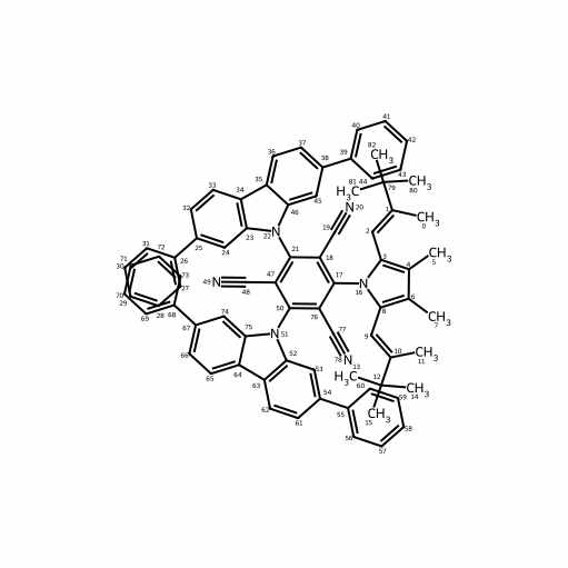 C/C(=C\c1c(C)c(C)c(/C=C(\C)C(C)(C)C)n1-c1c(C#N)c(-n2c3cc(-c4ccccc4)ccc3c3ccc(-c4ccccc4)cc32)c(C#N)c(-n2c3cc(-c4ccccc4)ccc3c3ccc(-c4ccccc4)cc32)c1C#N)C(C)(C)C